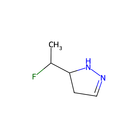 CC(F)C1CC=NN1